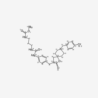 CC(C)(C)OC(=O)NCCCNC(=O)Nc1ccc(CN2CC3(CCN(Cc4ccc(C(F)(F)F)cc4)CC3)OC2=O)cc1